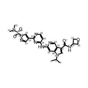 CC(C)n1cc(C(=O)NC2COC2)c2cnc(Nc3ccnc(-c4cnn(S(=O)(=O)N(C)C)c4)n3)cc21